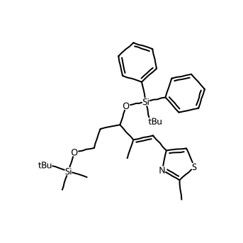 CC(=Cc1csc(C)n1)C(CCO[Si](C)(C)C(C)(C)C)O[Si](c1ccccc1)(c1ccccc1)C(C)(C)C